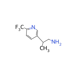 CC(CN)c1ccc(C(F)(F)F)nc1